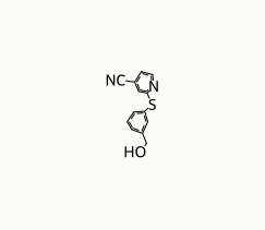 N#Cc1ccnc(Sc2cccc(CO)c2)c1